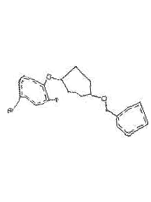 Fc1cc(Br)ccc1OC1CCC(OCc2ccccc2)CC1